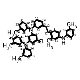 Cc1cccc(Nc2ccc(CCc3cccc(N(c4cccc(C)c4)c4cc(Cl)cc(N(c5cccc(C)c5)c5cccc(C)c5)c4)c3)c(C)c2)c1